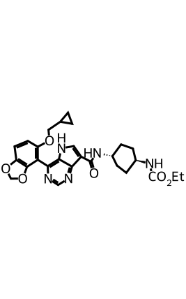 CCOC(=O)N[C@H]1CC[C@H](NC(=O)c2c[nH]c3c(-c4c(OCC5CC5)ccc5c4OCO5)ncnc23)CC1